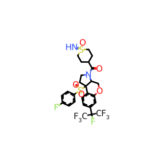 N=S1(=O)CCC(C(=O)N2CCC3(S(=O)(=O)c4ccc(F)cc4)c4ccc(C(F)(C(F)(F)F)C(F)(F)F)cc4OCC23)CC1